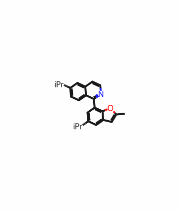 Cc1cc2cc(C(C)C)cc(-c3nccc4cc(C(C)C)ccc34)c2o1